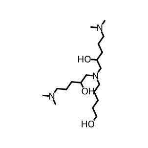 CN(C)CCCC(O)CN(CCCCCO)CC(O)CCCN(C)C